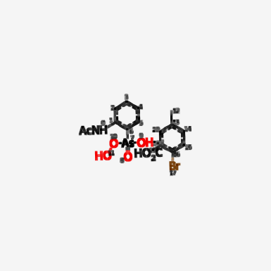 CC(=O)Nc1ccccc1[As](=O)(O)OO.Cc1ccc(Br)c(C(=O)O)c1